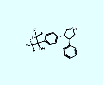 OC(c1ccc([C@@H]2CNC[C@H]2c2ccccc2)cc1)(C(F)(F)F)C(F)(F)F